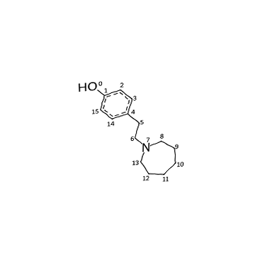 Oc1ccc(CCN2CCCCCC2)cc1